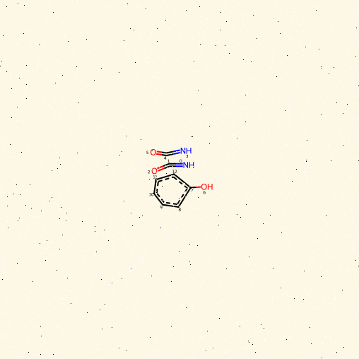 N=C=O.N=C=O.Oc1ccccc1